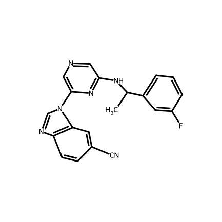 CC(Nc1cncc(-n2cnc3ccc(C#N)cc32)n1)c1cccc(F)c1